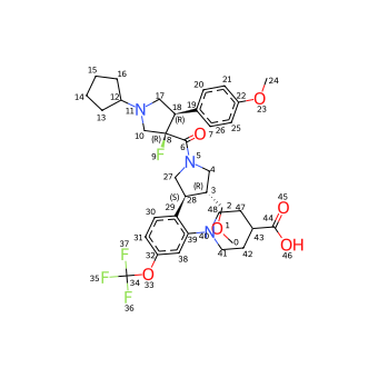 COC[C@H]1CN(C(=O)[C@]2(F)CN(C3CCCC3)C[C@H]2c2ccc(OC)cc2)C[C@@H]1c1ccc(OC(F)(F)F)cc1N1CCC(C(=O)O)CC1